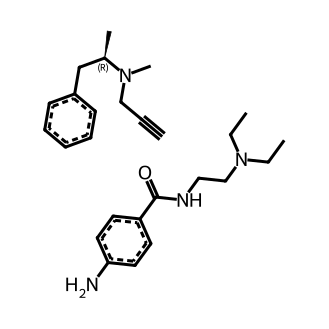 C#CCN(C)[C@H](C)Cc1ccccc1.CCN(CC)CCNC(=O)c1ccc(N)cc1